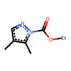 CCOC(=O)n1ncc(C)c1C